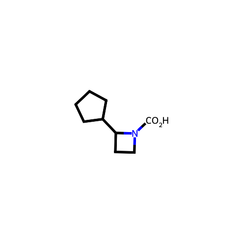 O=C(O)N1CCC1C1CCCC1